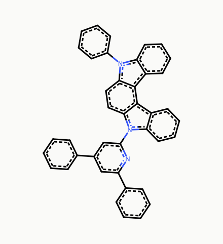 c1ccc(-c2cc(-c3ccccc3)nc(-n3c4ccccc4c4c5c6ccccc6n(-c6ccccc6)c5ccc43)c2)cc1